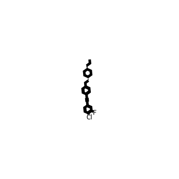 CCC[C@H]1CC[C@H](CCc2ccc(C#Cc3ccc(Cl)c(F)c3)cc2)CC1